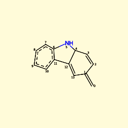 C=C1C=CC2Nc3ccccc3C2=C1